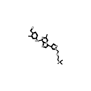 Cc1cn2c(-c3cnn(COCC[Si](C)(C)C)c3)cnc2c(Nc2ccc(C=O)c(C)c2)n1